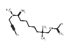 C=C(NCC(C)(C)CCCCCC(=C)N(C)CC#CC(C)C)C(C)C